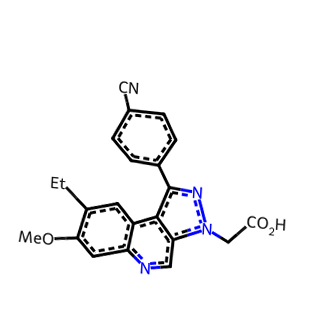 CCc1cc2c(cc1OC)ncc1c2c(-c2ccc(C#N)cc2)nn1CC(=O)O